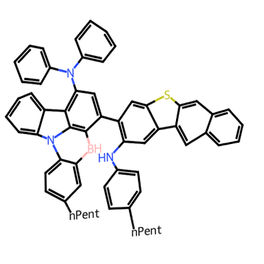 CCCCCc1ccc(Nc2cc3c(cc2-c2cc(N(c4ccccc4)c4ccccc4)c4c5ccccc5n5c4c2Bc2cc(CCCCC)ccc2-5)sc2cc4ccccc4cc23)cc1